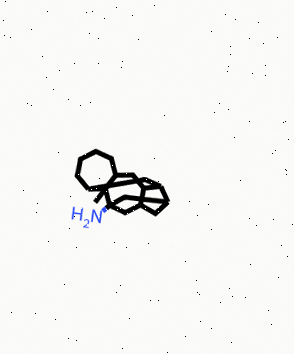 CC12C3CCCCC1CC1C4CC(CC2(N)C4)C1C3